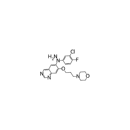 NN(c1ccc(F)c(Cl)c1)c1cc2cncnc2cc1OCCCN1CCOCC1